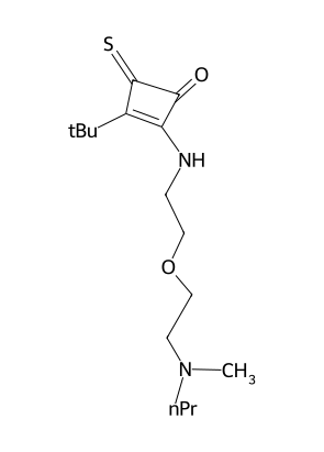 CCCN(C)CCOCCNc1c(C(C)(C)C)c(=S)c1=O